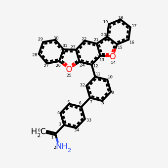 C=C(N)c1ccc(-c2cccc(-c3c4oc5ccccc5c4cc4c3oc3ccccc34)c2)cc1